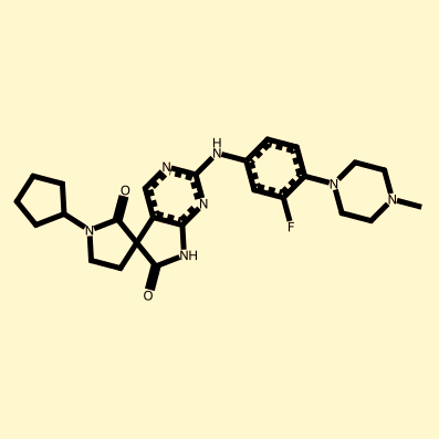 CN1CCN(c2ccc(Nc3ncc4c(n3)NC(=O)C43CCN(C4CCCC4)C3=O)cc2F)CC1